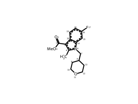 COC(=O)c1c(C)n(CC2CCOCC2)c2cc(F)ccc12